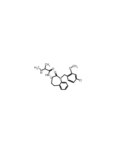 CNC(C)C(=O)N[C@H]1CCc2ccccc2N(Cc2ccc(Cl)cc2OC)C1=O